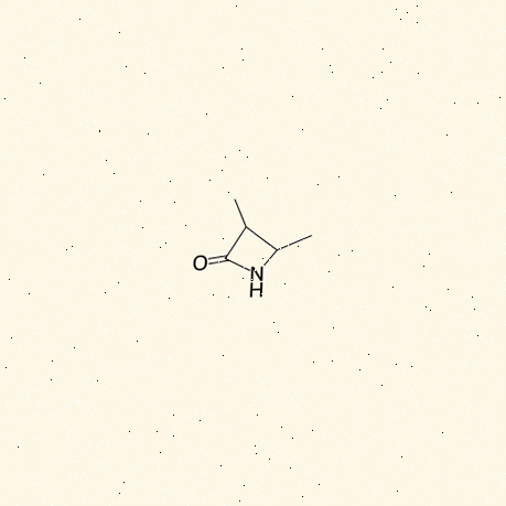 CC1NC(=O)C1C